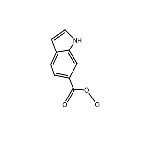 O=C(OCl)c1ccc2cc[nH]c2c1